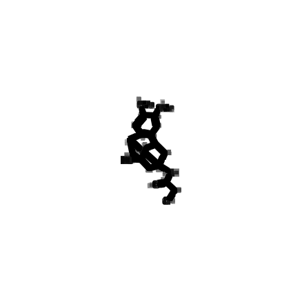 COc1cc2c(cc1OC)C1CC3(O)CC2CC(NC(=O)CCl)(C1)C3